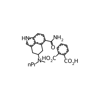 CCCN(C)C1Cc2c[nH]c3ccc(C(N)=O)c(c23)C1.O=C(O)c1ccccc1C(=O)O